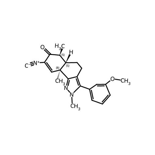 [C-]#[N+]C1=C[C@]2(C)c3nn(C)c(-c4cccc(OC)c4)c3CC[C@H]2[C@H](C)C1=O